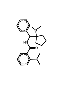 CC(C)c1ccccc1C(=O)NC(c1ccccc1)C1(N(C)C)CCCC1